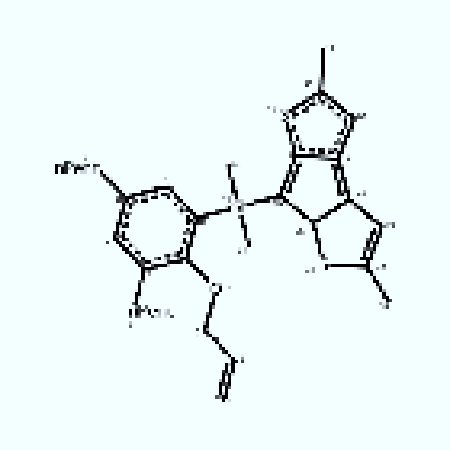 C=CCOc1c(CCCCC)cc(CCCCC)cc1[Si](C)(C)C1=c2sc(C)cc2=C2C=C(C)SC21